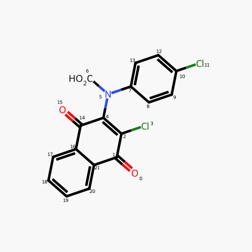 O=C1C(Cl)=C(N(C(=O)O)c2ccc(Cl)cc2)C(=O)c2ccccc21